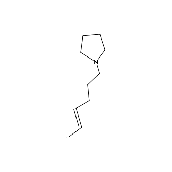 [CH2]/C=C/CCCN1CCCC1